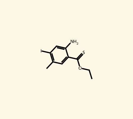 CCOC(=S)c1cc(C)c(I)cc1N